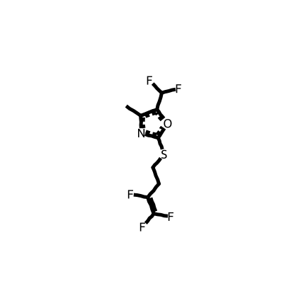 Cc1nc(SCCC(F)=C(F)F)oc1C(F)F